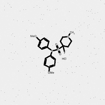 COc1ccc(N(c2ccc(OC)cc2)S(=O)(=O)C2(F)CCN(C)CC2)cc1.Cl